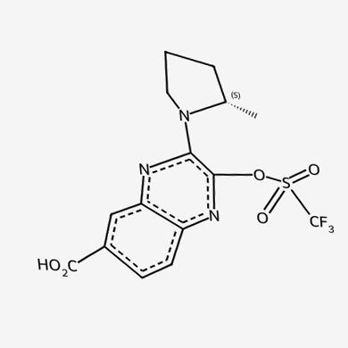 C[C@H]1CCCN1c1nc2cc(C(=O)O)ccc2nc1OS(=O)(=O)C(F)(F)F